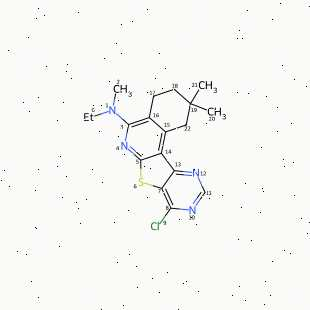 CCN(C)c1nc2sc3c(Cl)ncnc3c2c2c1CCC(C)(C)C2